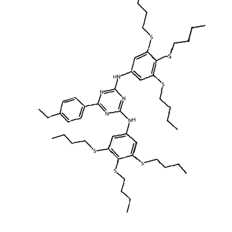 [CH2]Cc1ccc(-c2nc(Nc3cc(SCCCC)c(SCCCC)c(SCCCC)c3)nc(Nc3cc(SCCCC)c(SCCCC)c(SCCCC)c3)n2)cc1